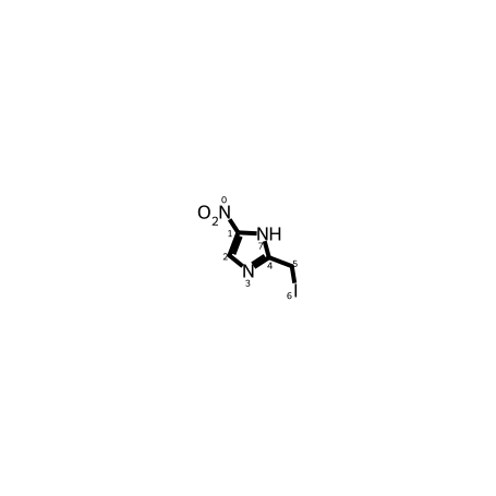 O=[N+]([O-])c1cnc(CI)[nH]1